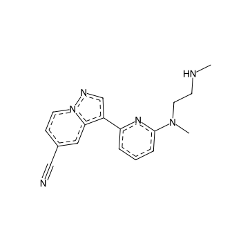 CNCCN(C)c1cccc(-c2cnn3ccc(C#N)cc23)n1